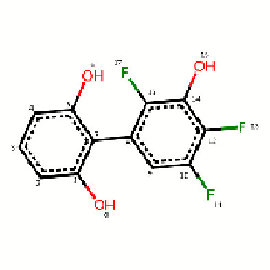 Oc1cccc(O)c1-c1cc(F)c(F)c(O)c1F